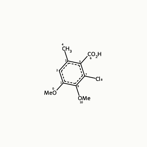 COc1cc(C)c(C(=O)O)c(Cl)c1OC